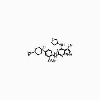 COc1cc(P2(=O)CCN(C3CC3)CC2)ccc1Nc1nc(N[C@H]2CCOC2)c2c(C#N)c[nH]c2n1